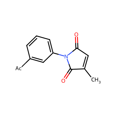 CC(=O)c1cccc(N2C(=O)C=C(C)C2=O)c1